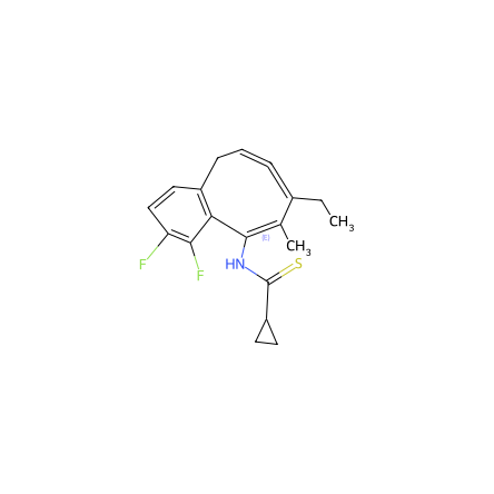 CCC1=C=CCc2ccc(F)c(F)c2/C(NC(=S)C2CC2)=C\1C